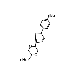 CCCCCCC1COC(c2ccc(-c3ccc(CCCC)cc3)cc2)CO1